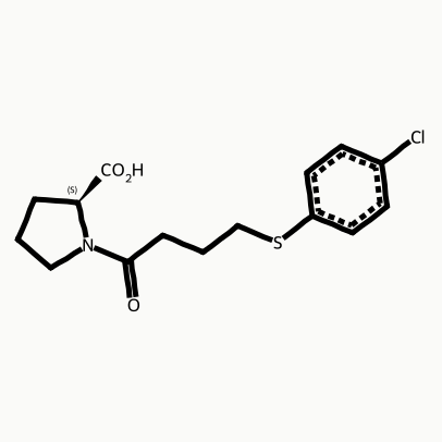 O=C(O)[C@@H]1CCCN1C(=O)CCCSc1ccc(Cl)cc1